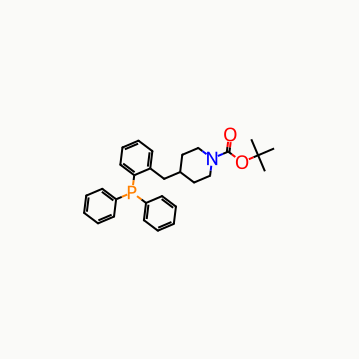 CC(C)(C)OC(=O)N1CCC(Cc2ccccc2P(c2ccccc2)c2ccccc2)CC1